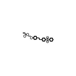 C=CC(=O)OCCOc1ccc(C=Cc2ccc(S(=O)(=O)c3ccccc3)cc2)cc1